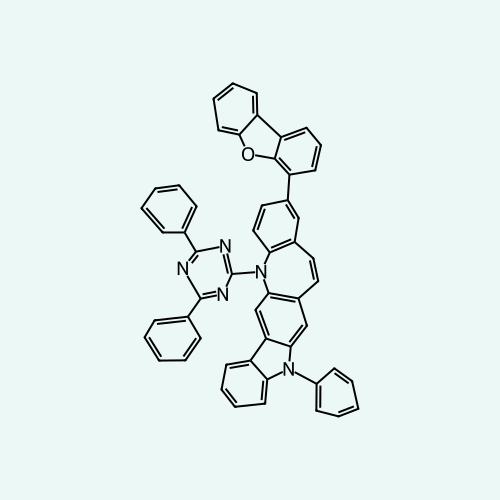 C1=Cc2cc3c(cc2N(c2nc(-c4ccccc4)nc(-c4ccccc4)n2)c2ccc(-c4cccc5c4oc4ccccc45)cc21)c1ccccc1n3-c1ccccc1